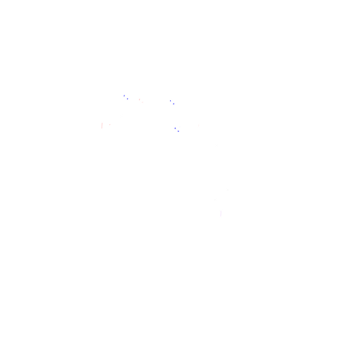 Oc1cc(-c2cnc(O[C@H]3C[C@@H](c4ccc(I)cc4)C3)cn2)on1